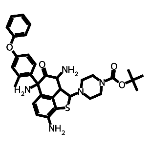 Cc1cc(Oc2ccccc2)ccc1C1(N)C(=O)C(N)C2c3c1ccc(N)c3SC2N1CCN(C(=O)OC(C)(C)C)CC1